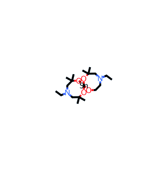 CCN1CC[O][Sn]2([O]C(C)(C)C1)[O]C(C)(C)CN(CC)CC(C)(C)[O]2